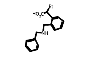 CCC(C(=O)O)c1ccccc1CNCc1ccccc1